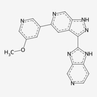 COc1cncc(-c2cc3c(-c4nc5cnccc5[nH]4)n[nH]c3cn2)c1